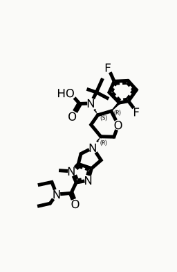 CCN(CC)C(=O)c1nc2c(n1C)CN([C@H]1CO[C@H](c3cc(F)ccc3F)[C@@H](N(C(=O)O)C(C)(C)C)C1)C2